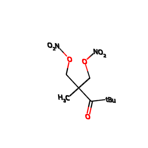 CC(C)(C)C(=O)C(C)(CO[N+](=O)[O-])CO[N+](=O)[O-]